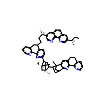 CC[C@H](C)c1cnc2c(ccc3cc([C@@H](C)CCC4Cc5cccnc5-c5nc(C6CC(C7CC8CC7(C)c7cc9c(nc78)-c7ncccc7CC9)[C@H]7C[C@@H]6C7(C)C)ccc54)cnc32)c1